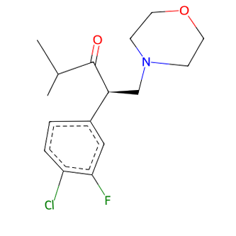 CC(C)C(=O)[C@@H](CN1CCOCC1)c1ccc(Cl)c(F)c1